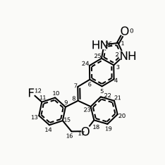 O=c1[nH]c2ccc(C=C3c4cc(F)ccc4COc4ccccc43)cc2[nH]1